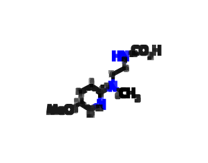 COc1ccc(N(C)CCNC(=O)O)nc1